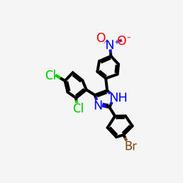 O=[N+]([O-])c1ccc(-c2[nH]c(-c3ccc(Br)cc3)nc2-c2ccc(Cl)cc2Cl)cc1